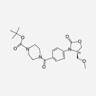 COC[C@@H]1COC(=O)N1c1ccc(C(=O)N2CCN(C(=O)OC(C)(C)C)CC2)cc1